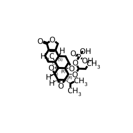 CCC(O[C@@H]1[C@@]2(C(C)C)O[C@H]2[C@@H]2O[C@@]23[C@@]2(C)CCC4=C(COC4=O)[C@@H]2CC2O[C@]213)OP(=O)(O)O